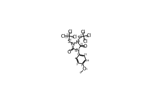 COc1ccc(-n2c(=O)n(SC(Cl)(Cl)Cl)n(SC(Cl)(Cl)Cl)c2=O)cc1